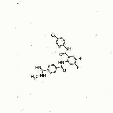 CNC(=N)c1ccc(C(=O)Nc2cc(F)c(F)cc2C(=O)Nc2ccc(Cl)cn2)cc1